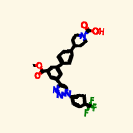 COC(=O)c1cc(-c2ccc(C3CCN(C(=O)O)CC3)cc2)cc(-c2cn(-c3ccc(C(F)(F)F)cc3)nn2)c1